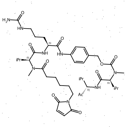 CC(=O)[C@@H](NC(=O)[C@H](C(C)C)N(C)C(=O)OCc1ccc(NC(=O)[C@H](CCCNC(N)=O)NC(=O)[C@H](C(C)C)N(C)C(=O)CCCCCN2C(=O)C=CC2=O)cc1)C(C)C